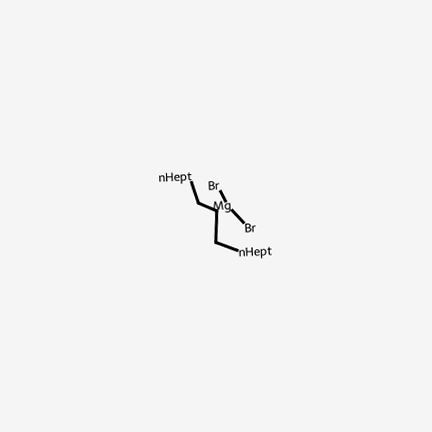 [Br][Mg][Br].[CH2]CCCCCCCCCCCCCCCC